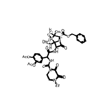 CCN1CCN(C(=O)NC(C(=O)N[C@@H]2C(=O)N3[C@@H](C(=O)OCc4ccccc4)C(C)(C)S(=O)(=O)C23NC=O)c2ccc(OC(C)=O)c(OC(C)=O)c2)C(=O)C1=O